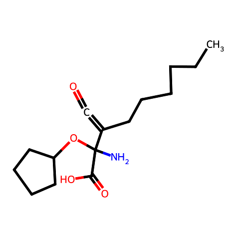 CCCCCCC(=C=O)C(N)(OC1CCCC1)C(=O)O